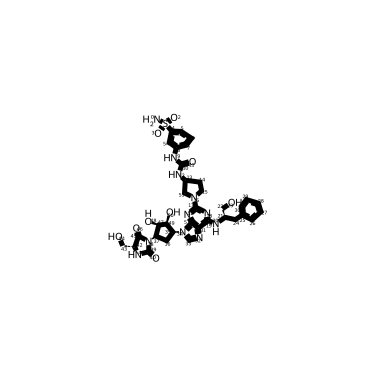 NS(=O)(=O)c1cccc(NC(=O)NC2CCN(c3nc(N[C@H](CO)Cc4ccccc4)c4ncn([C@@H]5C[C@H](N6C(=O)N[C@H](CO)C6=O)[C@@H](O)[C@H]5O)c4n3)C2)c1